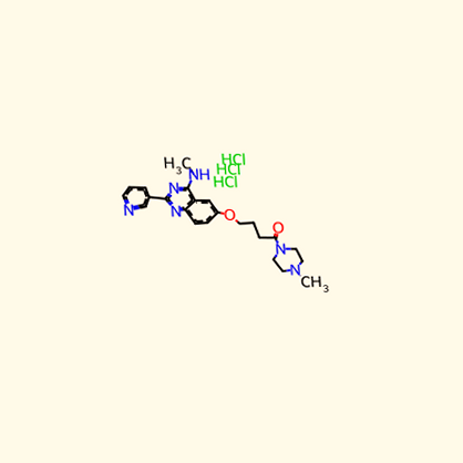 CNc1nc(-c2cccnc2)nc2ccc(OCCCC(=O)N3CCN(C)CC3)cc12.Cl.Cl.Cl